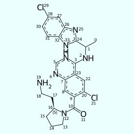 CC(Nc1ncnc2cc(C(=O)N3CCC[C@H]3CCN)c(Cl)cc12)c1nc2cc(Cl)ccc2[nH]1